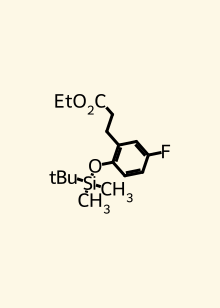 CCOC(=O)CCc1cc(F)ccc1O[Si](C)(C)C(C)(C)C